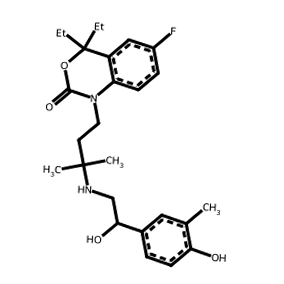 CCC1(CC)OC(=O)N(CCC(C)(C)NCC(O)c2ccc(O)c(C)c2)c2ccc(F)cc21